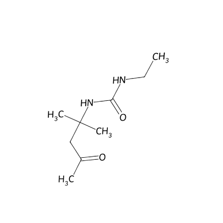 CCNC(=O)NC(C)(C)CC(C)=O